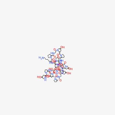 NCCCC[C@H](NC(=O)CNC(=O)[C@@H]1CCCN1C(=O)[C@@H]1C[C@@H](O)CN1C(=O)CNC(=O)[C@@H]1CCCN1C(=O)[C@@H]1C[C@@H](O)CN1C(=O)CNC(=O)[C@@H]1CCCN1C(=O)[C@@H]1C[C@@H](O)CN1)C(=O)N1CCC[C@H]1C(=O)NCC(=O)N1C[C@H](O)C[C@H]1C(=O)N1CCC[C@H]1C(=O)NCC(=O)N1C[C@H](O)C[C@H]1C(=O)N1CCC[C@H]1C(=O)NCC(=O)N1C[C@H](O)C[C@H]1C(=O)N1CCC[C@H]1C(=O)NCC(=O)O